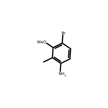 COc1c(Br)ccc(N)c1C